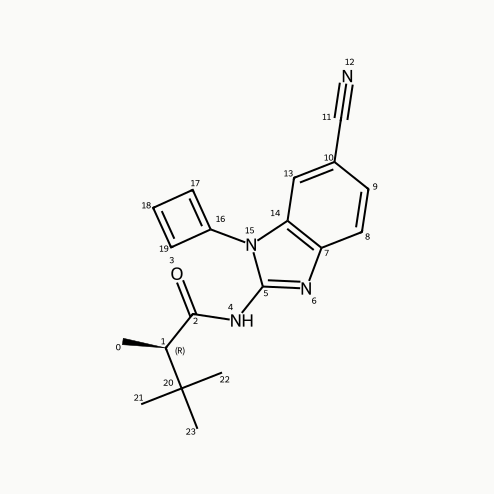 C[C@@H](C(=O)Nc1nc2ccc(C#N)cc2n1C1=CC=C1)C(C)(C)C